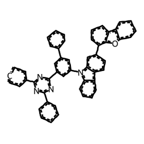 c1ccc(-c2cc(-c3nc(-c4ccccc4)nc(-c4ccccc4)n3)cc(-n3c4ccccc4c4ccc(-c5cccc6c5oc5ccccc56)cc43)c2)cc1